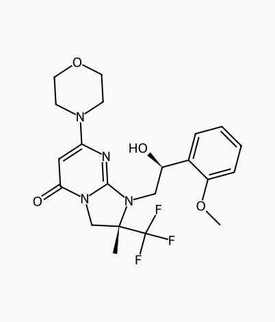 COc1ccccc1[C@H](O)CN1c2nc(N3CCOCC3)cc(=O)n2C[C@@]1(C)C(F)(F)F